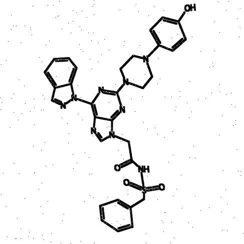 O=C(Cn1cnc2c(-n3ncc4ccccc43)nc(N3CCN(c4ccc(O)cc4)CC3)nc21)NS(=O)(=O)Cc1ccccc1